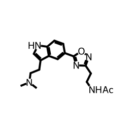 CC(=O)NCCc1noc(-c2ccc3[nH]cc(CCN(C)C)c3c2)n1